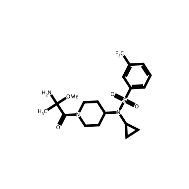 COC(C)(N)C(=O)N1CCC(N(C2CC2)S(=O)(=O)c2cccc(C(F)(F)F)c2)CC1